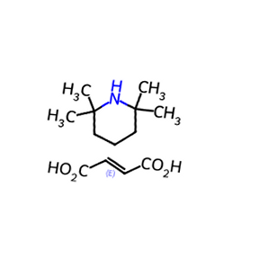 CC1(C)CCCC(C)(C)N1.O=C(O)/C=C/C(=O)O